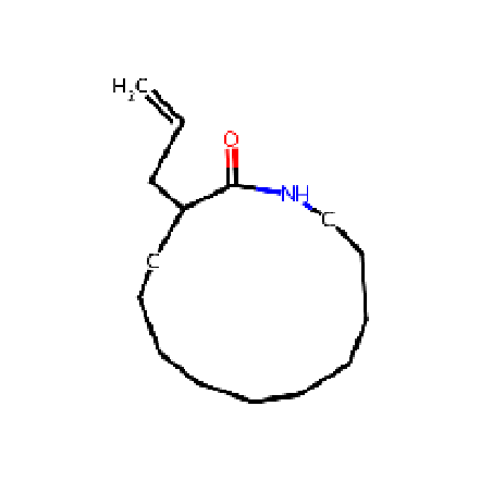 C=CCC1CCCCCCCCCCNC1=O